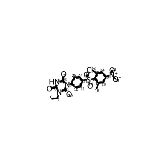 CCn1c(=O)[nH]c(=O)n(-c2ccc(S(=O)(=O)c3c(C)cc([N+](=O)[O-])cc3Cl)cc2)c1=O